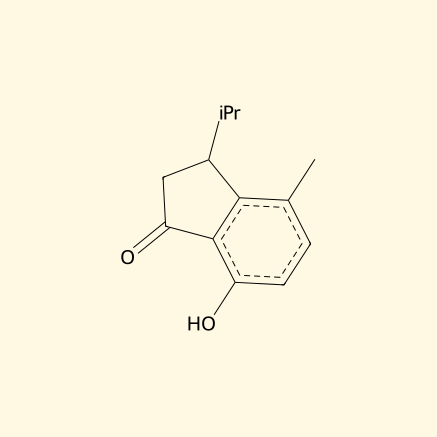 Cc1ccc(O)c2c1C(C(C)C)CC2=O